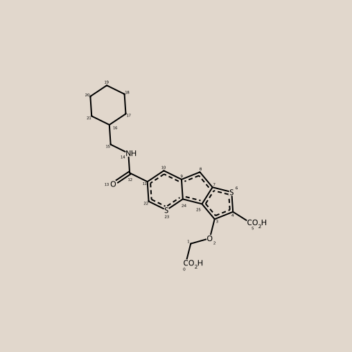 O=C(O)COc1c(C(=O)O)sc2cc3cc(C(=O)NCC4CCCCC4)csc-3c12